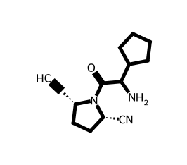 C#C[C@H]1CC[C@@H](C#N)N1C(=O)C(N)C1CCCC1